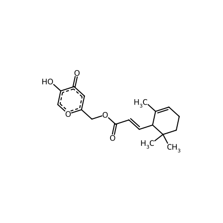 CC1=CCCC(C)(C)C1C=CC(=O)OCc1cc(=O)c(O)co1